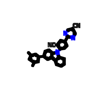 Cc1cc(C)cc(-c2ccc3c(c2)c2ccccc2n3-c2ccc(-c3ncc(C#N)cn3)cc2C#N)c1